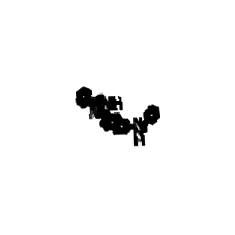 c1ccc(-c2c[nH]c(-c3ccc4ccc(-c5nc(-c6ccccc6)c[nH]5)cc4c3)n2)cc1